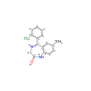 Cc1ccc2c(c1)C(c1ccccc1Cl)=NCC(=O)N2